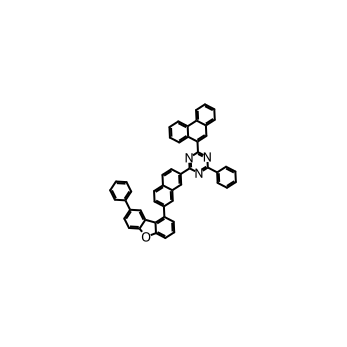 c1ccc(-c2ccc3oc4cccc(-c5ccc6ccc(-c7nc(-c8ccccc8)nc(-c8cc9ccccc9c9ccccc89)n7)cc6c5)c4c3c2)cc1